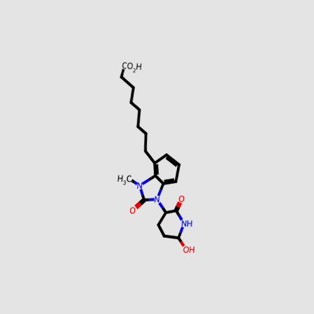 Cn1c(=O)n(C2CCC(O)NC2=O)c2cccc(CCCCCCCC(=O)O)c21